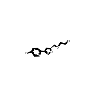 OCCOC[C@@H]1CC(c2ccc(Br)cn2)=NO1